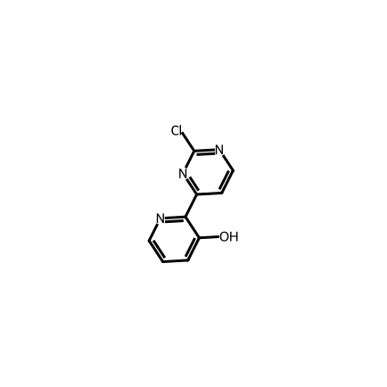 Oc1cccnc1-c1ccnc(Cl)n1